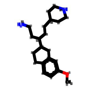 COc1ccc2c(c1)CC(C(CCN)CCC1CCNCC1)CC2